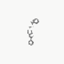 O=C1Cc2cc(-c3ccccc3)ccc2CN1C(=O)Nc1c[nH]c2ccccc12